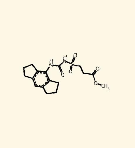 COC(=O)CCS(=O)(=O)NC(=O)Nc1c2c(cc3c1CCC3)CCC2